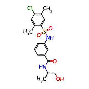 Cc1cc(S(=O)(=O)Nc2cccc(C(=O)N[C@H](C)CO)c2)c(C)cc1Cl